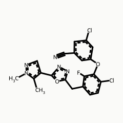 Cc1c(-c2nnc(Cc3ccc(Cl)c(Oc4cc(Cl)cc(C#N)c4)c3F)o2)cnn1C